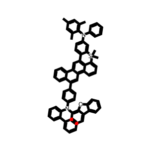 Cc1cc(C)c(N(c2ccccc2)c2ccc3c(c2)[Si](C)(C)c2cccc4c2c-3cc2c3ccccc3c(-c3ccc(N(c5ccccc5-c5ccccc5)c5cccc6c5oc5ccccc56)cc3)cc42)c(C)c1